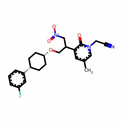 Cc1cc(C(CO[C@H]2CC[C@@H](c3cccc(F)c3)CC2)C[N+](=O)[O-])c(=O)n(CC#N)c1